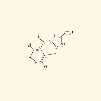 O=C(O)c1cc(C(=O)c2c(Cl)ccc(Cl)c2F)c[nH]1